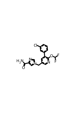 NC(=O)c1cn(Cc2cnc(OC(F)F)c(-c3cccc(Cl)c3)c2)cn1